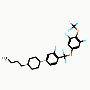 CCCC[C@H]1CC[C@H](c2ccc(C(F)(F)Oc3cc(F)c(OC(F)(F)F)c(F)c3)c(F)c2)CC1